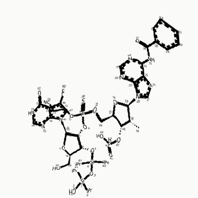 CC(C)[Si](O)(O[Si](O[C@H]1[C@@H](OP(=S)(OCCC#N)OC[C@H]2O[C@@H](n3cnc4c(NC(=O)c5ccccc5)ncnc43)[C@H](C)[C@@H]2O[PH](=O)O)[C@H](n2cc(F)c3c(=O)[nH]cnc32)O[C@@H]1CO)(C(C)C)C(C)C)C(C)C